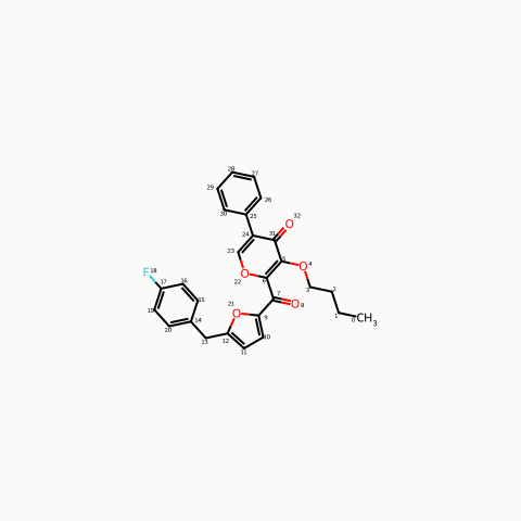 CCCCOc1c(C(=O)c2ccc(Cc3ccc(F)cc3)o2)occ(-c2ccccc2)c1=O